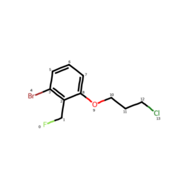 FCc1c(Br)cccc1OCCCCl